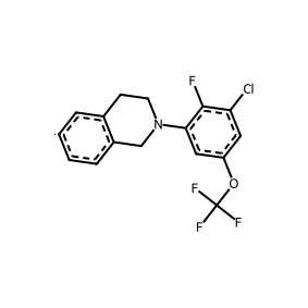 Fc1c(Cl)cc(OC(F)(F)F)cc1N1CCc2c[c]ccc2C1